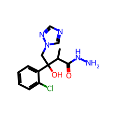 CC(C(=O)NN)C(O)(Cn1cncn1)c1ccccc1Cl